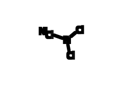 [Cl][Bi]([Cl])[Cl].[Ni]